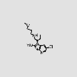 CC[C@H](CNCCCOC)n1c(O)nc2ncc(Cl)cc21